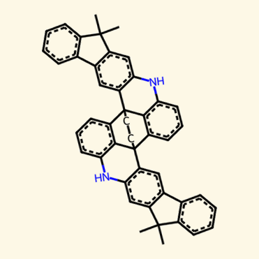 CC1(C)c2ccccc2-c2cc3c(cc21)Nc1cccc2c1C31CCC23c2cc4c(cc2Nc2cccc1c23)C(C)(C)c1ccccc1-4